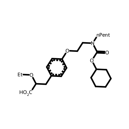 CCCCCN(CCOc1ccc(CC(OCC)C(=O)O)cc1)C(=O)OC1CCCCC1